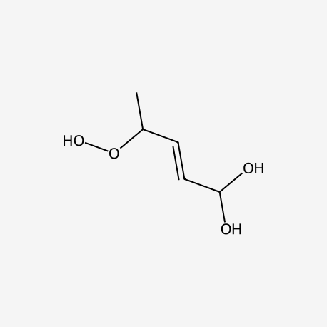 CC(/C=C/C(O)O)OO